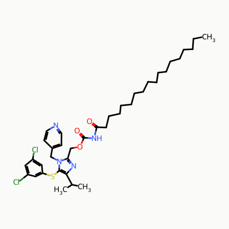 CCCCCCCCCCCCCCCCCC(=O)NC(=O)OCc1nc(C(C)C)c(Sc2cc(Cl)cc(Cl)c2)n1Cc1ccncc1